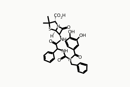 CC1(C)S[C@@H]2[C@H](NC(=O)C(NC(=O)N(Cc3ccccc3)C(=O)c3ccc(O)c(O)c3)c3ccccc3)C(=O)N2[C@H]1C(=O)O